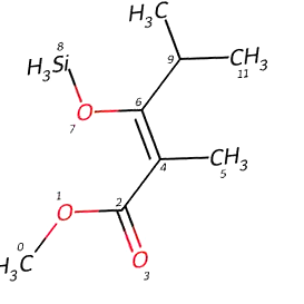 COC(=O)C(C)=C(O[SiH3])C(C)C